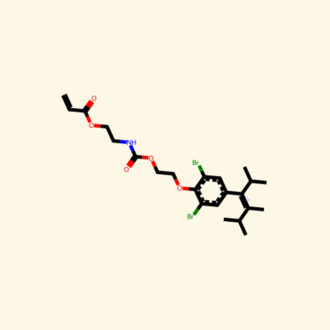 C=CC(=O)OCCNC(=O)OCCOc1c(Br)cc(/C(=C(/C)C(C)C)C(C)C)cc1Br